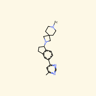 CC(=O)N1CCC2(CC1)CN([C@@H]1CCc3cc(-c4cc(C)ncn4)ccc31)C2